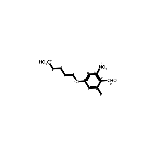 Cc1cc(OCCCCC(=O)O)cc([N+](=O)[O-])c1C=O